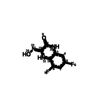 O=c1[nH]c2cc(F)cc(F)c2[nH]/c1=N\O